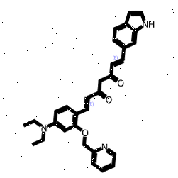 CCN(CC)c1ccc(/C=C/C(=O)CC(=O)/C=C/c2ccc3cc[nH]c3c2)c(OCc2ccccn2)c1